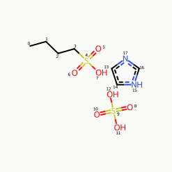 CCCCS(=O)(=O)O.O=S(=O)(O)O.c1c[nH]cn1